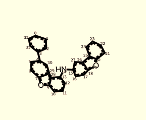 c1ccc(-c2ccc3oc4cccc(Nc5ccc6oc7ccccc7c6c5)c4c3c2)cc1